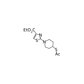 CCOC(=O)c1csc(N2CCC(SC(C)=O)CC2)n1